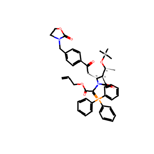 C=CCOC(=O)C(N1C(=O)[C@H]([C@@H](C)O[Si](C)(C)C)[C@H]1CC(=O)c1ccc(CN2CCOC2=O)cc1)=P(c1ccccc1)(c1ccccc1)c1ccccc1